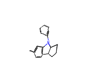 Cc1ccc2c(c1)N(c1ccccc1)C1CCCC21